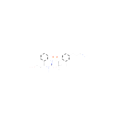 CC1(C)OC(N[C@@H](CCO)c2ccccc2F)=NS(=O)(=O)C1c1ccc(CCCN)cc1